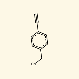 [C-]#[N+]Cc1ccc(C#C)cc1